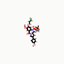 COc1ccc(C2=CN3C(=O)c4cc(OC)c(OCCCBr)cc4N(C(=O)O)C(O[Si](C)(C)C(C)(C)C)C3C2)cc1